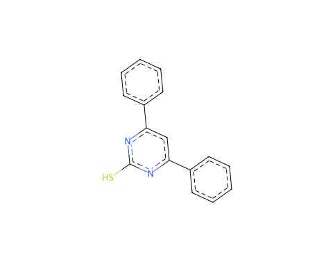 Sc1nc(-c2ccccc2)cc(-c2ccccc2)n1